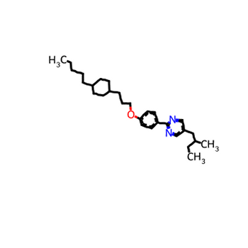 CCCCCC1CCC(CCCOc2ccc(-c3ncc(CC(C)CC)cn3)cc2)CC1